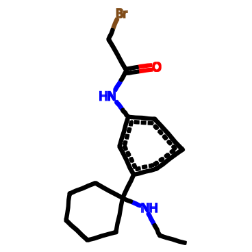 CCNC1(c2cccc(NC(=O)CBr)c2)CCCCC1